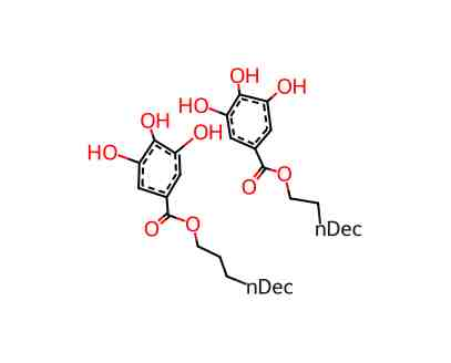 CCCCCCCCCCCCCOC(=O)c1cc(O)c(O)c(O)c1.CCCCCCCCCCCCOC(=O)c1cc(O)c(O)c(O)c1